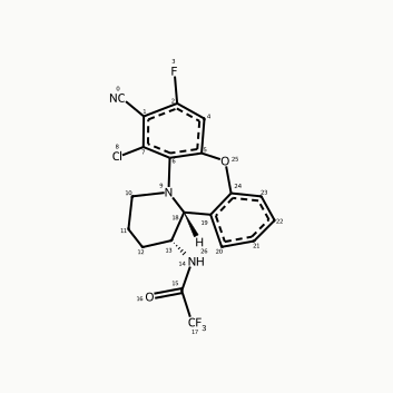 N#Cc1c(F)cc2c(c1Cl)N1CCC[C@@H](NC(=O)C(F)(F)F)[C@H]1c1ccccc1O2